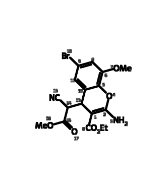 CCOC(=O)C1=C(N)Oc2c(OC)cc(Br)cc2C1C(C#N)C(=O)OC